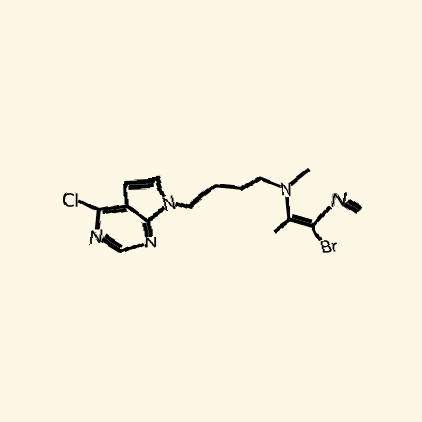 C=N/C(Br)=C(/C)N(C)CCCCn1ccc2c(Cl)ncnc21